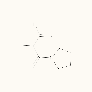 CC(C(N)=O)C(=O)N1CCCC1